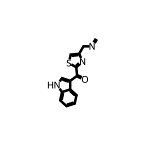 C=NCc1csc(C(=O)c2c[nH]c3ccccc23)n1